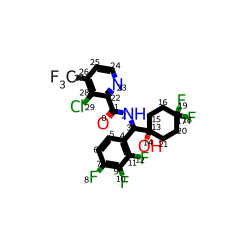 O=C(NC(c1ccc(F)c(F)c1F)C1(O)CCC(F)(F)CC1)c1nccc(C(F)(F)F)c1Cl